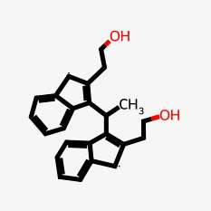 CC(C1=C(CCO)[CH]c2ccccc21)C1=C(CCO)[CH]c2ccccc21